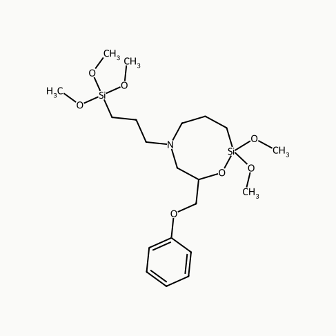 CO[Si](CCCN1CCC[Si](OC)(OC)OC(COc2ccccc2)C1)(OC)OC